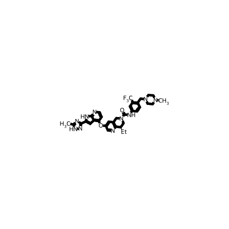 CC[C@H]1CN(C(=O)Nc2ccc(CN3CCN(C)CC3)c(C(F)(F)F)c2)Cc2cc(Oc3ccnc4[nH]c(-c5n[nH]c(C)n5)cc34)cnc21